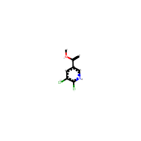 C=C(OC)c1cnc(Cl)c(Cl)c1